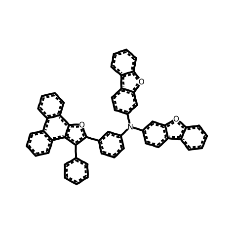 c1ccc(-c2c(-c3cccc(N(c4ccc5c(c4)oc4ccccc45)c4ccc5c(c4)oc4ccccc45)c3)oc3c4ccccc4c4ccccc4c23)cc1